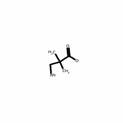 CCCCC(C)(C)C([O])=O